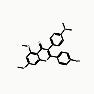 COc1cc(OC)c2c(=O)c(-c3ccc(N(C)C)cc3)c(-c3ccc(O)cc3)oc2c1